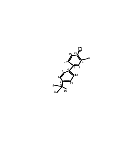 Cc1cc(-c2ccc(C(C)(C)C)cc2)ccc1Cl